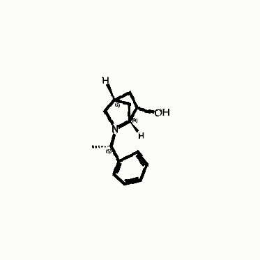 C[C@@H](c1ccccc1)N1C[C@@H]2CC(O)[C@H]1C2